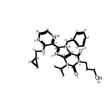 CC(C)n1c(=O)n(CCCO)c(=O)c2c1nc(-c1nccnc1OCC1CC1)n2Cc1ccccc1